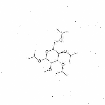 COC1C(OC(C)C)OC(COC(C)C)[C@@H](OC(C)C)[C@@H]1OC(C)C